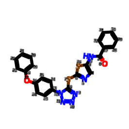 O=C(Nc1cnc(Sc2nnnn2-c2ccc(Oc3ccccc3)cc2)s1)c1ccccc1